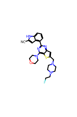 N#Cc1cc2c(-c3nc(N4CCOCC4)c4sc(CN5CCN(CCF)CC5)cc4n3)cccc2[nH]1